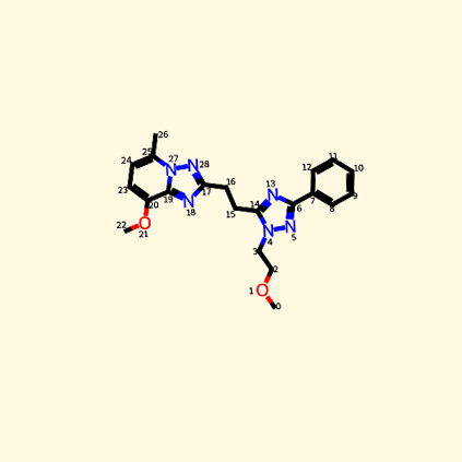 COCCn1nc(-c2ccccc2)nc1CCc1nc2c(OC)ccc(C)n2n1